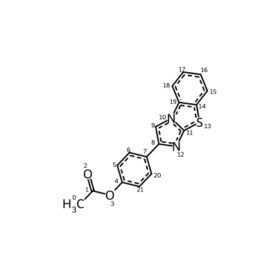 CC(=O)Oc1ccc(-c2cn3c(n2)sc2ccccc23)cc1